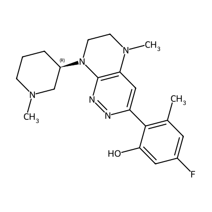 Cc1cc(F)cc(O)c1-c1cc2c(nn1)N([C@@H]1CCCN(C)C1)CCN2C